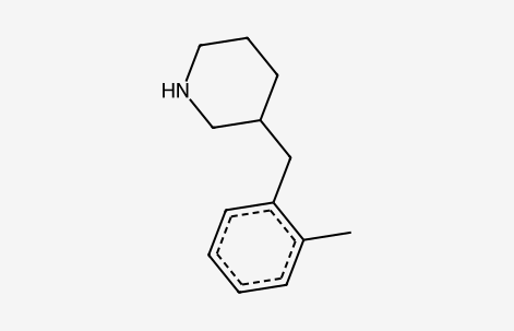 Cc1ccccc1CC1CCCNC1